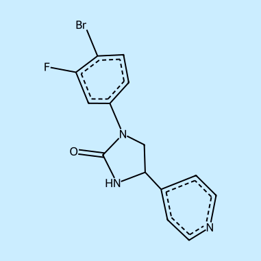 O=C1NC(c2ccncc2)CN1c1ccc(Br)c(F)c1